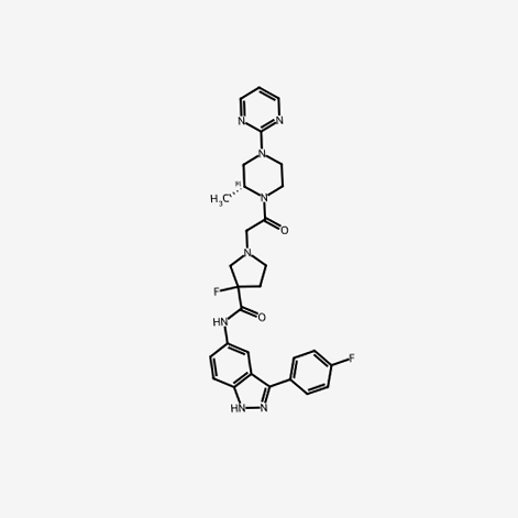 C[C@@H]1CN(c2ncccn2)CCN1C(=O)CN1CCC(F)(C(=O)Nc2ccc3[nH]nc(-c4ccc(F)cc4)c3c2)C1